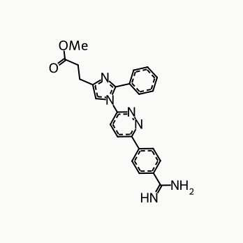 COC(=O)CCc1cn(-c2ccc(-c3ccc(C(=N)N)cc3)nn2)c(-c2ccccc2)n1